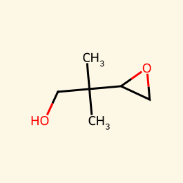 CC(C)(CO)C1CO1